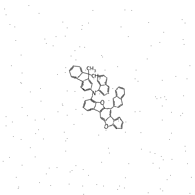 CC1(C)c2ccccc2-c2ccc(N(c3cccc4ccccc34)c3cccc4c3oc3c(-c5ccc6ccccc6c5)c5c(cc34)oc3ccccc35)cc21